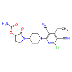 CCc1c(C#N)c(Cl)nc(N2CCC(N3CCC(OC(N)=O)C3=O)CC2)c1C#N